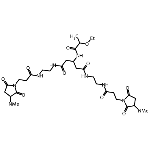 CCOC(C)C(=O)NC(CC(=O)NCCNC(=O)CCN1C(=O)CC(NC)C1=O)CC(=O)NCCNC(=O)CCN1C(=O)CC(NC)C1=O